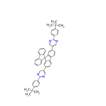 CC(C)(C)c1ccc(-c2ncc(-c3ccc4c(c3)C3(c5ccccc5-c5ccccc53)c3cc(-c5cnc(-c6ccc(C(C)(C)C)cc6)nc5)ccc3-4)cn2)cc1